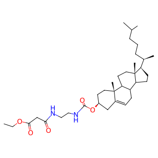 CCOC(=O)CC(=O)NCCNC(=O)O[C@H]1CC[C@@]2(C)C(=CCC3C2CC[C@@]2(C)C3CC[C@@H]2[C@H](C)CCCC(C)C)C1